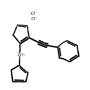 C(#Cc1ccccc1)C1=[C]([Zr+2][C]2=CC=CC2)CC=C1.[Cl-].[Cl-]